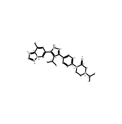 Cc1cc(-c2[nH]nc(-c3ccc(N4CCN(C(C)C)CC4=O)cc3)c2C(C)C)cn2ncnc12